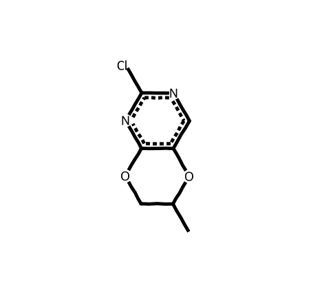 CC1COc2nc(Cl)ncc2O1